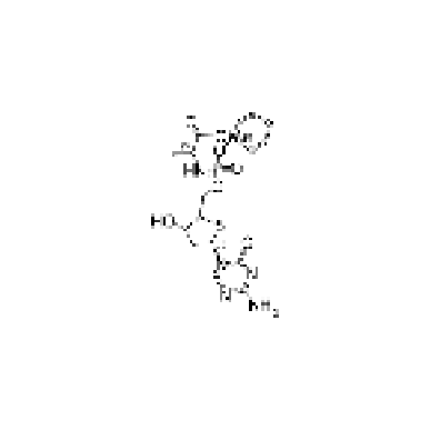 COC(=O)[C@H](C)N[P@](=O)(OCC1S[C@@H](n2cnc(N)nc2=O)CC1O)Oc1ccccc1